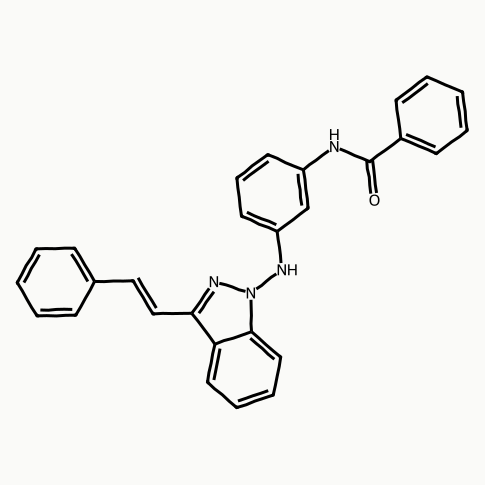 O=C(Nc1cccc(Nn2nc(C=Cc3ccccc3)c3ccccc32)c1)c1ccccc1